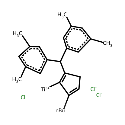 CCCCC1=CCC(C(c2cc(C)cc(C)c2)c2cc(C)cc(C)c2)=[C]1[Ti+3].[Cl-].[Cl-].[Cl-]